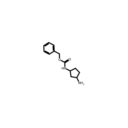 NC1CCC(NC(=O)OCc2ccccc2)C1